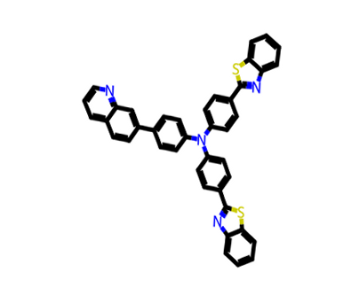 c1cnc2cc(-c3ccc(N(c4ccc(-c5nc6ccccc6s5)cc4)c4ccc(-c5nc6ccccc6s5)cc4)cc3)ccc2c1